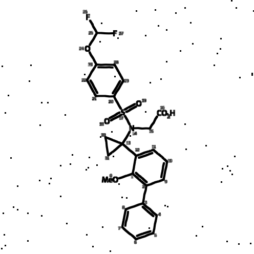 COc1c(-c2ccccc2)cccc1C1(N(CC(=O)O)S(=O)(=O)c2ccc(OC(F)F)cc2)CC1